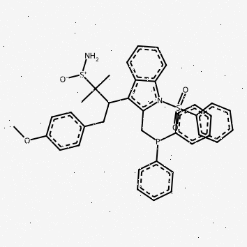 COc1ccc(CC(c2c(CP(c3ccccc3)c3ccccc3)n(S(=O)(=O)c3ccccc3)c3ccccc23)C(C)(C)[S+](N)[O-])cc1